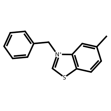 Cc1ccc2sc[n+](Cc3ccccc3)c2c1